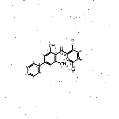 Cc1cc(-c2ccncc2)cc(C)c1Nc1nc(Cl)ncc1F